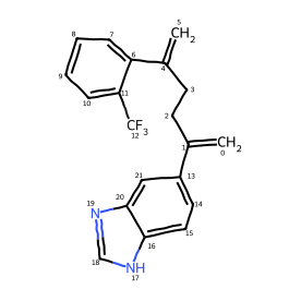 C=C(CCC(=C)c1ccccc1C(F)(F)F)c1ccc2[nH]cnc2c1